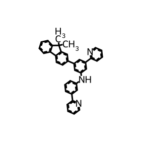 CC1(C)c2ccccc2-c2ccc(-c3cc(Nc4cccc(-c5ccccn5)c4)cc(-c4ccccn4)c3)cc21